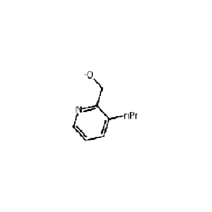 CCCc1cccnc1C[O]